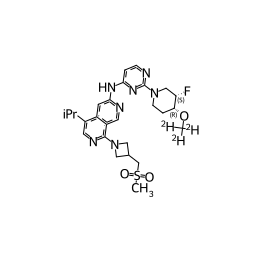 [2H]C([2H])([2H])O[C@@H]1CCN(c2nccc(Nc3cc4c(C(C)C)cnc(N5CC(CS(C)(=O)=O)C5)c4cn3)n2)C[C@@H]1F